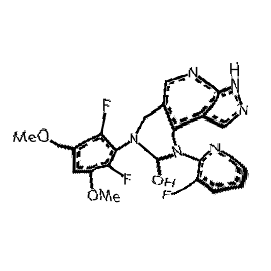 COc1cc(OC)c(F)c(N2Cc3cnc4[nH]ncc4c3N(c3ncccc3F)C2O)c1F